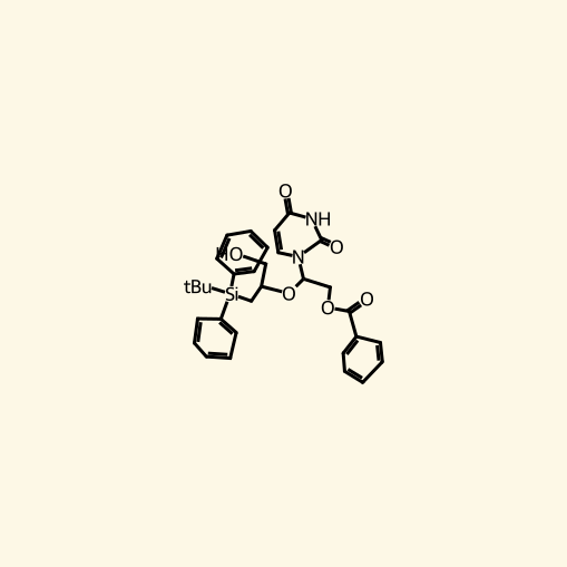 CC(C)(C)[Si](CC(CO)OC(COC(=O)c1ccccc1)n1ccc(=O)[nH]c1=O)(c1ccccc1)c1ccccc1